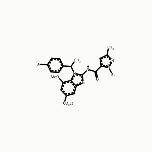 CCOC(=O)c1cc(OC)c2c(c1)nc(NC(=O)c1cc(C)nn1CC)n2C(C)c1ccc(Br)cc1